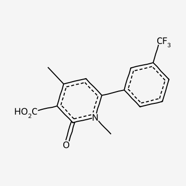 Cc1cc(-c2cccc(C(F)(F)F)c2)n(C)c(=O)c1C(=O)O